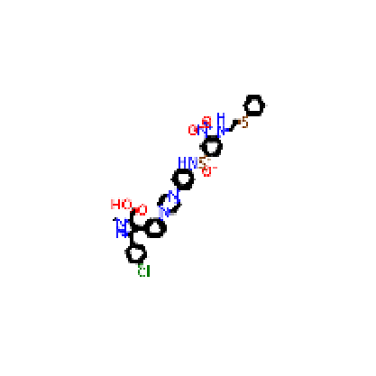 Cn1nc(-c2ccc(Cl)cc2)c(-c2cccc(N3CCN(c4ccc(N[S+]([O-])c5ccc(NCCSc6ccccc6)c([N+](=O)[O-])c5)cc4)CC3)c2)c1C(=O)O